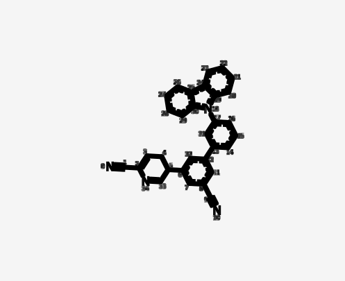 N#CC1=CCC(c2cc(C#N)cc(-c3cccc(-n4c5ccccc5c5ccccc54)c3)c2)C=N1